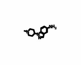 CN1CCC(n2ncc3cc(N)ccc32)CC1